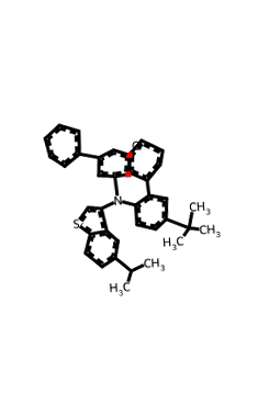 CC(C)c1ccc2scc(N(c3cc(Cl)cc(-c4ccccc4)c3)c3ccc(C(C)(C)C)cc3-c3ccccc3)c2c1